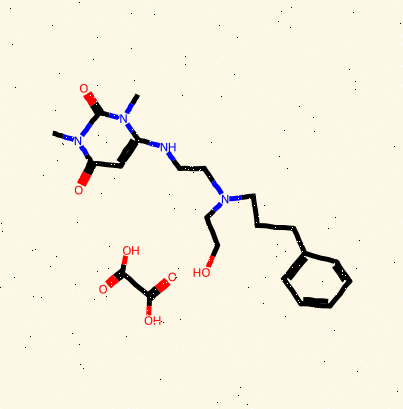 Cn1c(NCCN(CCO)CCCc2ccccc2)cc(=O)n(C)c1=O.O=C(O)C(=O)O